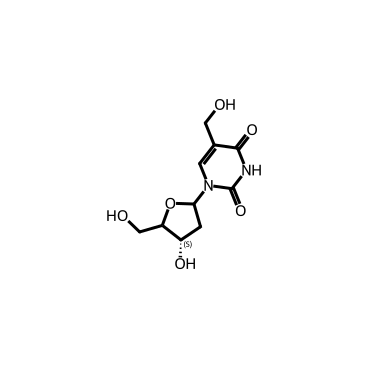 O=c1[nH]c(=O)n(C2C[C@H](O)C(CO)O2)cc1CO